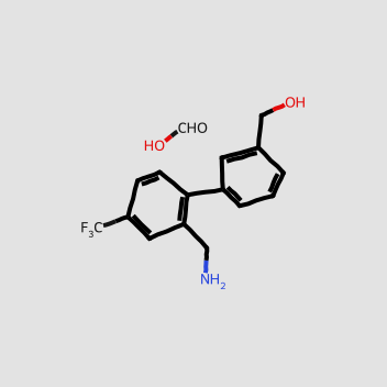 NCc1cc(C(F)(F)F)ccc1-c1cccc(CO)c1.O=CO